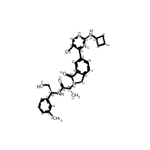 Cc1cccc([C@@H](CO)NC(=O)[C@@H](C)N2Cc3ccc(-c4nc(NC5CCC5)ncc4Cl)cc3C2=O)c1